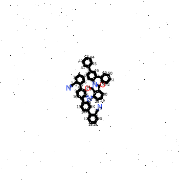 N#Cc1ccccc1-c1ccc2c3ccc(-c4ccccc4C#N)cc3n(-c3cccc4c3C(=O)N(c3ccc(-c5ccccc5)cc3-c3ccccc3)C4=O)c2c1